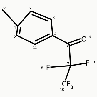 Cc1ccc(C(=O)C(F)(F)C(F)(F)F)cc1